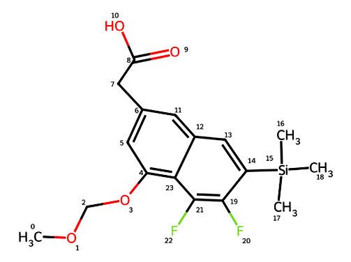 COCOc1cc(CC(=O)O)cc2cc([Si](C)(C)C)c(F)c(F)c12